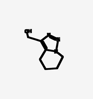 OCc1nnn2c1CCCC2